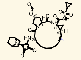 O=CO[C@@H]1C[C@H]2C(=O)N[C@]3(C(=O)NS(=O)(=O)C4CC4)C[C@H]3/C=C\CCCCC[C@H](Nc3c(N4C5CCC4CC5)c(=O)c3=O)C(=O)N2C1